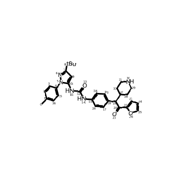 Cc1ccc(-n2nc(C(C)(C)C)cc2NC(=O)Nc2ccc(C(C(=O)c3ccco3)C3CCNCC3)cc2)cc1